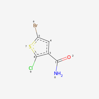 NC(=O)c1cc(Br)sc1Cl